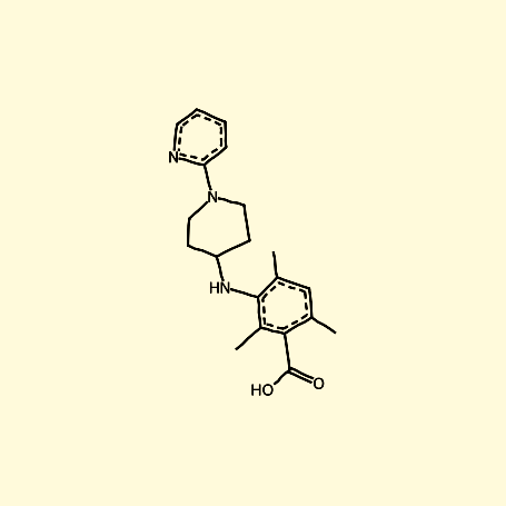 Cc1cc(C)c(C(=O)O)c(C)c1NC1CCN(c2ccccn2)CC1